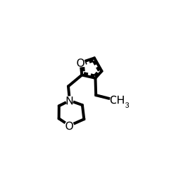 CCc1ccoc1CN1CCOCC1